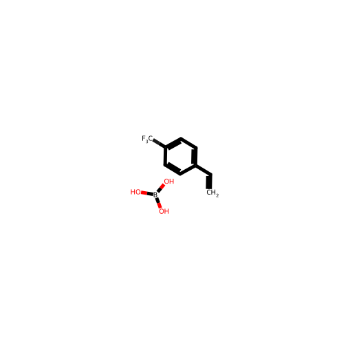 C=Cc1ccc(C(F)(F)F)cc1.OB(O)O